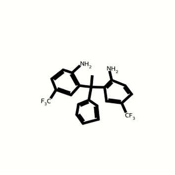 CC(c1ccccc1)(c1cc(C(F)(F)F)ccc1N)c1cc(C(F)(F)F)ccc1N